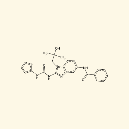 CC(C)(O)Cn1c(NC(=O)Nc2cccs2)nc2cc(NC(=O)c3ccccc3)ccc21